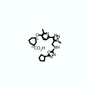 Cc1nc(-c2nnn(C)c2CNc2nnc(C3CCCC3)o2)ccc1O[C@H]1CCC[C@H](C(=O)O)C1